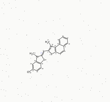 CN1/C(=C/c2sc3ccc4ccccc4c3[n+]2C)Sc2ccc(Cl)cc21